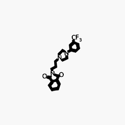 O=C1c2ccccc2C(=O)N1CCCN1CCN(c2cccc(C(F)(F)F)c2)CC1